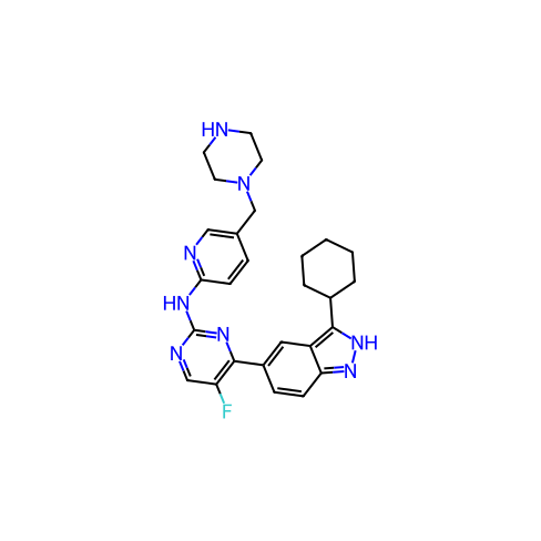 Fc1cnc(Nc2ccc(CN3CCNCC3)cn2)nc1-c1ccc2n[nH]c(C3CCCCC3)c2c1